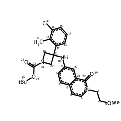 COCCn1ccc2ccc(NC3(c4cccc(Cl)c4C)CN(C(=O)OC(C)(C)C)C3)cc2c1=O